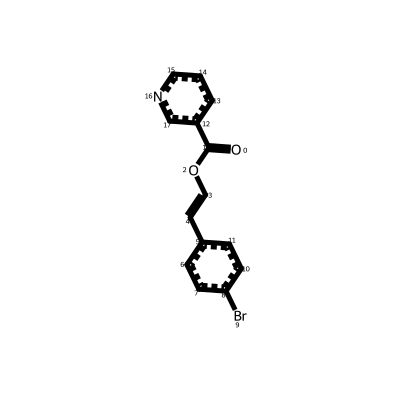 O=C(OC=Cc1ccc(Br)cc1)c1cccnc1